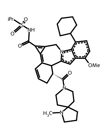 COc1ccc(C2CCCCC2)c2c1cc1n2CC2=C(C(=O)NS(=O)(=O)C(C)C)C2=C2C=CC[C@@H](C(=O)N3CCC4(CCCN4C)CC3)C21